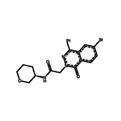 CC(C)c1nn(CC(=O)N[C@@H]2CCCOC2)c(=O)c2ccc(Br)cc12